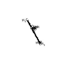 CCCCCCCCCC(=O)O[C@@H](COCOCCCCCCCCCCCCNC(C)=O)COP(=O)(O)O